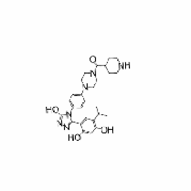 CC(C)c1cc(-c2nnc(O)n2-c2ccc(N3CCN(C(=O)C4CCNCC4)CC3)cc2)c(O)cc1O